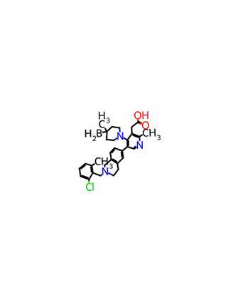 BC1(C)CCN(c2c(-c3ccc4c(c3)CCN(Cc3c(C)cccc3Cl)C4)cnc(C)c2CC(=O)O)CC1